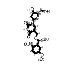 CCOc1ccc([N+](=O)[O-])c([C@@H](OCc2cn([C@H]3CC(O)[C@@H](CO)O3)c(=O)[nH]c2=O)C(C)(C)C)c1